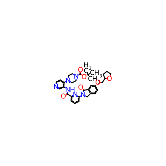 CC(C)(C)OC(=O)N1CCN(c2ccncc2NC(=O)c2cccc(N3Cc4ccc(OCC5CCCO5)cc4C3=O)n2)CC1